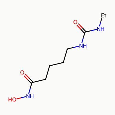 CCNC(=O)NCCCCC(=O)NO